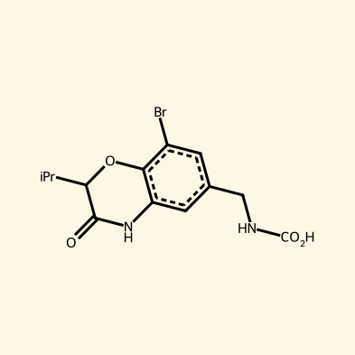 CC(C)C1Oc2c(Br)cc(CNC(=O)O)cc2NC1=O